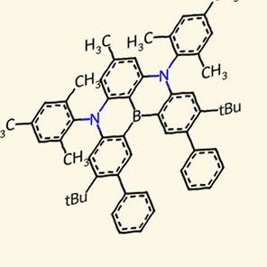 Cc1cc(C)c(N2c3cc(C(C)(C)C)c(-c4ccccc4)cc3B3c4cc(-c5ccccc5)c(C(C)(C)C)cc4N(c4c(C)cc(C)cc4C)c4cc(C)cc2c43)c(C)c1